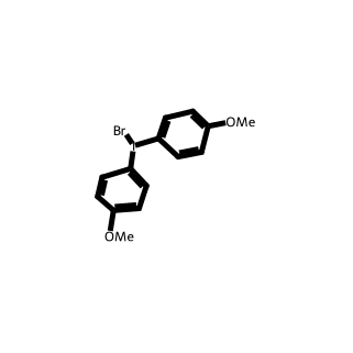 COc1ccc(I(Br)c2ccc(OC)cc2)cc1